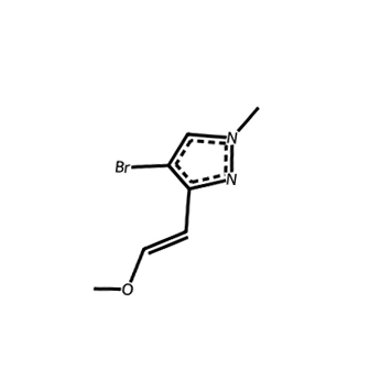 COC=Cc1nn(C)cc1Br